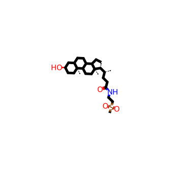 C[C@H](CCC(=O)NCCS(C)(=O)=O)[C@H]1CCC2C3CCC4C[C@H](O)CC[C@]4(C)C3CC[C@@]21C